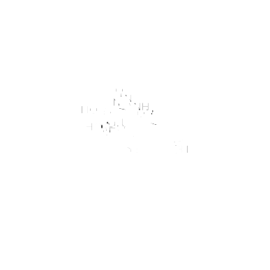 CCCCCCCC(=O)CC[C@@H]1[C@@H](C/C=C\CCCC(=O)O)[C@@H](O)C[C@H]1O.Nc1ccn(C[C@@H](CO)OCP(=O)(O)O)c(=O)n1